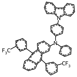 FC(F)(F)c1cccc(-c2c3ccccc3c(-c3cccc(C(F)(F)F)c3)c3cc(N(c4ccccc4)c4ccc(-n5c6ccccc6c6ccccc65)cc4)ccc23)c1